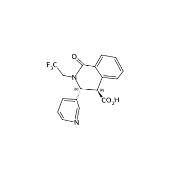 O=C(O)[C@@H]1c2ccccc2C(=O)N(CC(F)(F)F)[C@H]1c1cccnc1